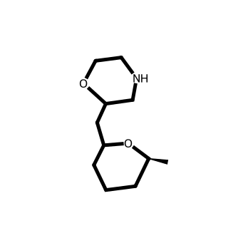 C[C@H]1CCCC(CC2CNCCO2)O1